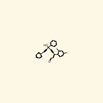 Cc1ccc(/C(C#CC(O)(C#Cc2ccccc2)c2ccccc2)=C/C=O)c(C)c1